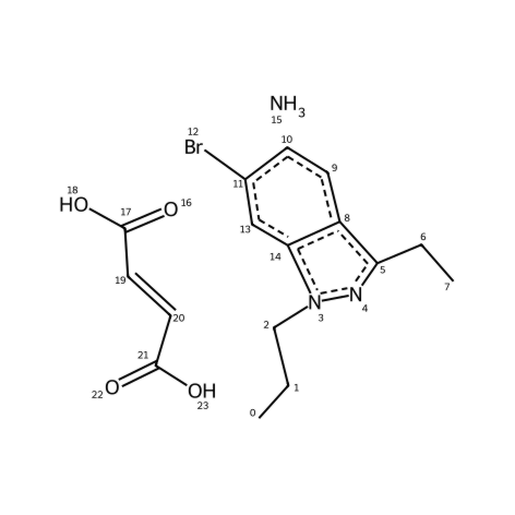 CCCn1nc(CC)c2ccc(Br)cc21.N.O=C(O)C=CC(=O)O